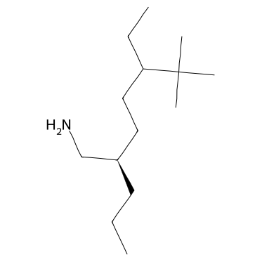 CCC[C@@H](CN)CCC(CC)C(C)(C)C